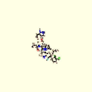 Cc1nc2c(F)c(-c3cccc(Cl)c3Cl)c(CCC#N)cc2c2c1cc(C1CC(Oc3cccc4c3cnn4C)CN1C(=O)C1CC1)n2C1C2CNC1C2